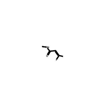 CNC(=O)C=C(C)I